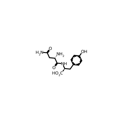 NC(=O)C[C@H](N)C(=O)N[C@@H](Cc1ccc(O)cc1)C(=O)O